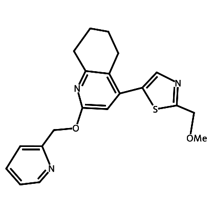 COCc1ncc(-c2cc(OCc3ccccn3)nc3c2CCCC3)s1